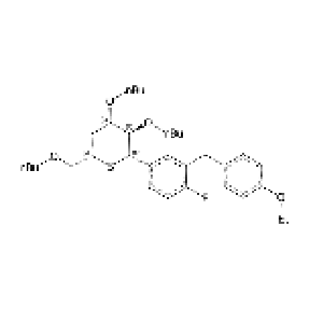 CCCCOC[C@@H]1C[C@H](OCCCC)[C@@H](OCCCC)[C@H](c2ccc(F)c(Cc3ccc(OCC)cc3)c2)S1